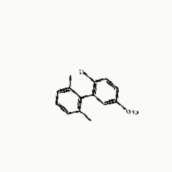 Cc1cccc(C)c1-c1cc(C=O)ccc1Cl